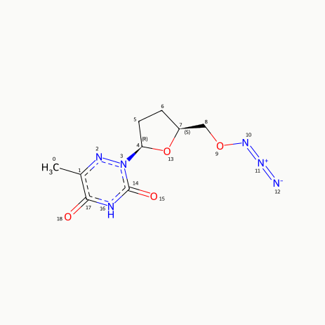 Cc1nn([C@H]2CC[C@@H](CON=[N+]=[N-])O2)c(=O)[nH]c1=O